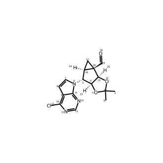 CC1(C)O[C@H]2[C@H](n3ccc4c(Cl)ncnc43)[C@H]3C[C@]3(C=O)[C@H]2O1